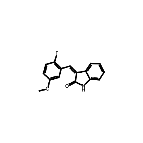 COc1ccc(F)c(C=C2C(=O)Nc3ccccc32)c1